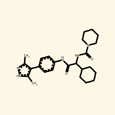 Cc1n[nH]c(C)c1-c1ccc(NC(=O)C(NC(=O)N2CCCCC2)C2CCCCC2)cc1